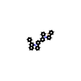 C1=CC(c2ccc3c(c2)c2ccccc2n3-c2cc(-c3ccccc3)cc3ccccc23)Cc2c1n(-c1cccc3c1sc1ccccc13)c1ccccc21